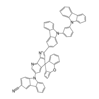 N#Cc1ccc2c(c1)c1ccccc1n2-c1cnc2c(c1)C1(c3ccccc3Oc3ccccc31)c1cc(-c3ccc4c(c3)c3ccccc3n4-c3cccc(-n4c5ccccc5c5ccccc54)c3)cnc1-2